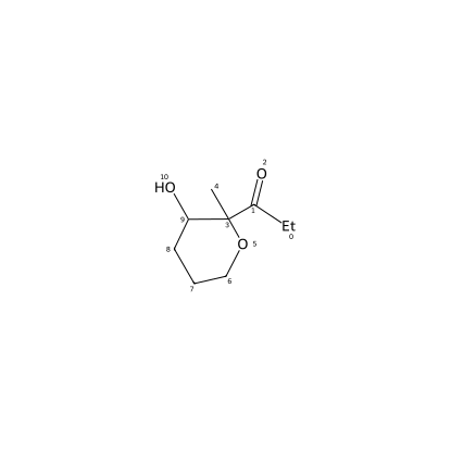 CCC(=O)C1(C)OCCCC1O